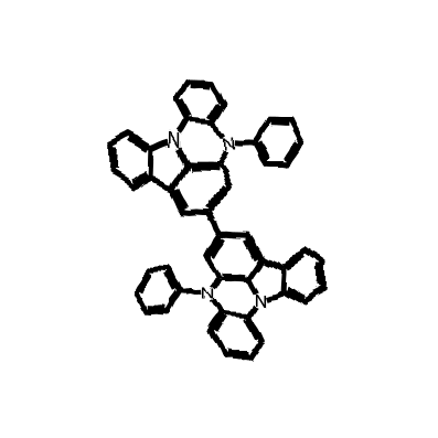 c1ccc(N2c3ccccc3-n3c4ccccc4c4cc(-c5cc6c7c(c5)c5ccccc5n7-c5ccccc5N6c5ccccc5)cc2c43)cc1